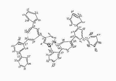 C1=CN2B(C=C1c1cc(-c3ccccc3)cc(-c3cccc(-c4ccccc4)c3)c1)c1ccccc1-c1ccc(-c3cc(-c4ccccc4)cc(-c4ccccc4)c3)cc12